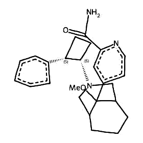 COC1(c2ccnc(C(N)=O)c2)C2CCCC1CN([C@H]1CC[C@H]1c1ccccc1)C2